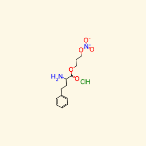 Cl.NC(CCc1ccccc1)C(=O)OCCCO[N+](=O)[O-]